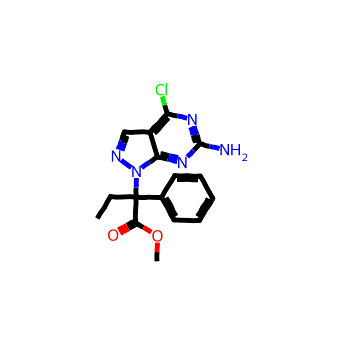 CCC(C(=O)OC)(c1ccccc1)n1ncc2c(Cl)nc(N)nc21